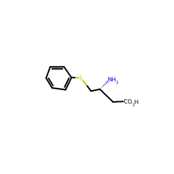 N[C@@H](CSc1ccccc1)CC(=O)O